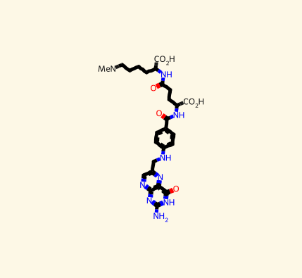 CNCCCCC(NC(=O)CCC(NC(=O)c1ccc(NCc2cnc3nc(N)[nH]c(=O)c3n2)cc1)C(=O)O)C(=O)O